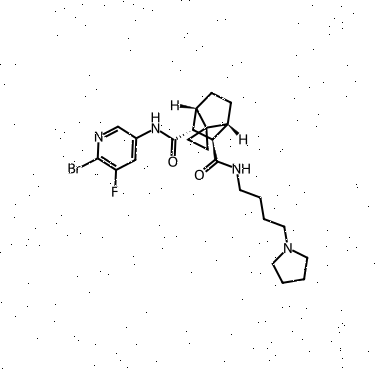 O=C(NCCCCN1CCCC1)[C@H]1[C@H](C(=O)Nc2cnc(Br)c(F)c2)[C@@H]2CC[C@H]1C21CC1